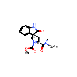 CON(C)C(=O)[C@@H]1C[C@]2(CN1C(=O)OC(C)(C)C)C(=O)Nc1ccccc12